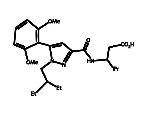 CCC(CC)Cn1nc(C(=O)NC(CC(=O)O)C(C)C)cc1-c1c(OC)cccc1OC